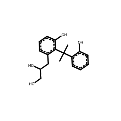 CC(C)(c1ccccc1O)c1c(O)cccc1CC(O)CO